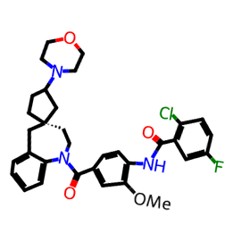 COc1cc(C(=O)N2CC[C@@]3(CCC(N4CCOCC4)C3)Cc3ccccc32)ccc1NC(=O)c1cc(F)ccc1Cl